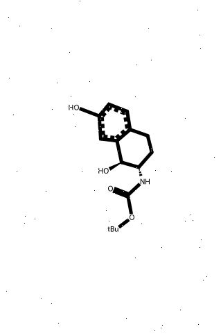 CC(C)(C)OC(=O)N[C@H]1CCc2ccc(O)cc2[C@@H]1O